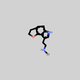 CCNCCc1c[nH]c2ccc3c(c12)OCC3